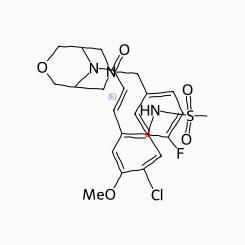 COc1cc(/C=C/C(=O)N2C3COCC2CN(Cc2ccc(F)cc2)C3)c(NS(C)(=O)=O)cc1Cl